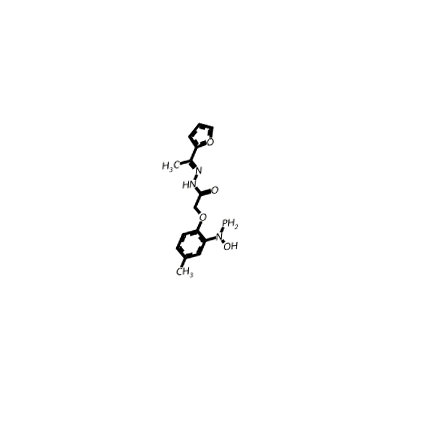 C/C(=N\NC(=O)COc1ccc(C)cc1N(O)P)c1ccco1